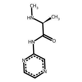 CN[C@@H](C)C(=O)Nc1cnccn1